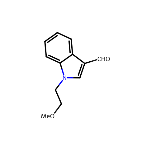 COCCn1cc(C=O)c2ccccc21